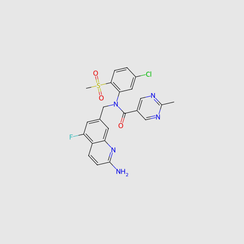 Cc1ncc(C(=O)N(Cc2cc(F)c3ccc(N)nc3c2)c2cc(Cl)ccc2S(C)(=O)=O)cn1